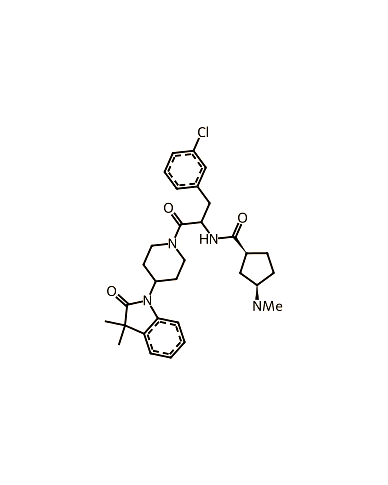 CN[C@@H]1CC[C@H](C(=O)NC(Cc2cccc(Cl)c2)C(=O)N2CCC(N3C(=O)C(C)(C)c4ccccc43)CC2)C1